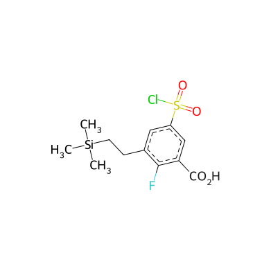 C[Si](C)(C)CCc1cc(S(=O)(=O)Cl)cc(C(=O)O)c1F